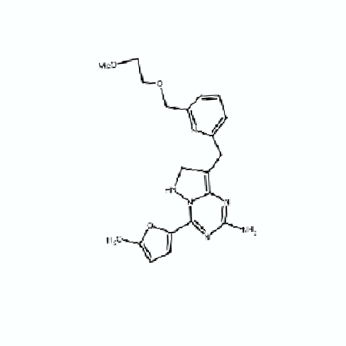 COCCOCc1cccc(CC2=C3N=C(N)N=C(c4ccc(C)o4)N3NC2)n1